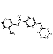 Nc1ccccc1NC(=O)c1ccc(CC2CCNCC2)cc1